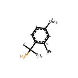 BC(C)(P)c1ccc(OC)cc1C(C)C